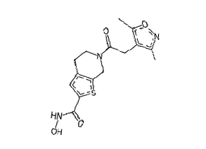 Cc1noc(C)c1CC(=O)N1CCc2cc(C(=O)NO)sc2C1